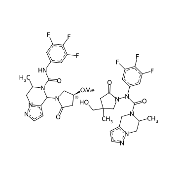 CC1Cn2nccc2CN1C(=O)N(c1cc(F)c(F)c(F)c1)N1CC(C)(CO)CC1=O.CO[C@H]1CC(=O)N(C2c3ccnn3CC(C)N2C(=O)Nc2cc(F)c(F)c(F)c2)C1